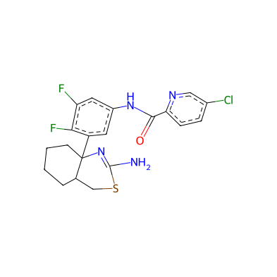 NC1=NC2(c3cc(NC(=O)c4ccc(Cl)cn4)cc(F)c3F)CCCCC2CS1